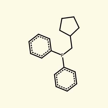 c1ccc(P(CC2CCCC2)c2ccccc2)cc1